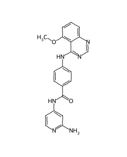 COc1cccc2ncnc(Nc3ccc(C(=O)Nc4ccnc(N)c4)cc3)c12